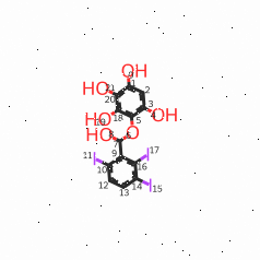 Oc1cc(O)c(OC(O)c2c(I)ccc(I)c2I)c(O)c1O